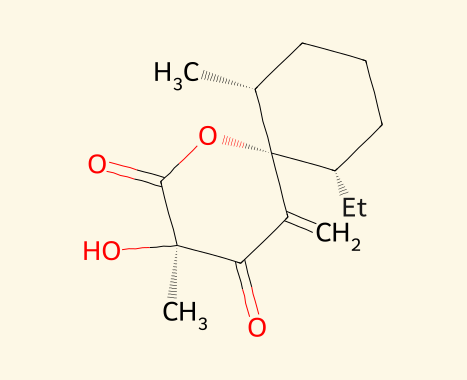 C=C1C(=O)[C@@](C)(O)C(=O)O[C@]12[C@@H](CC)CCC[C@H]2C